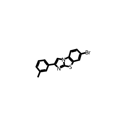 Cc1cccc(-c2cn3c(n2)sc2cc(Br)ccc23)c1